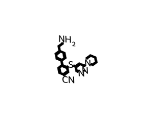 N#Cc1ccc(-c2ccc(CCN)cc2)c(Sc2cnnc(N3CCCCC3)c2)c1